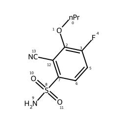 CCCOc1c(F)ccc(S(N)(=O)=O)c1C#N